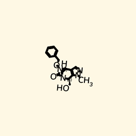 Cn1ncc2c1[C@@H](CO)N1C[C@@H]2N(OCc2ccccc2)C1=O